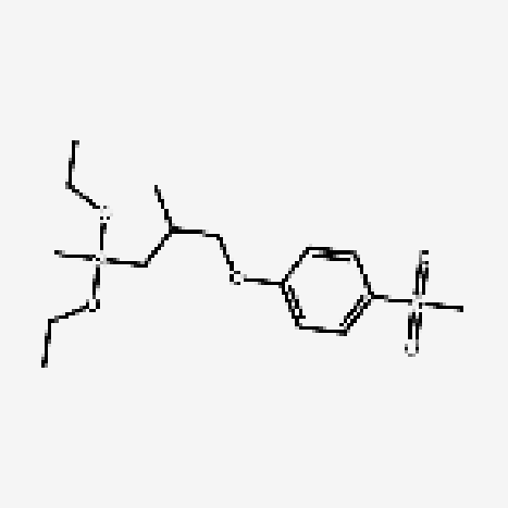 CCO[Si](C)(CC(C)COc1ccc(S(C)(=O)=O)cc1)OCC